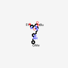 CCOc1cncc(C(CC(=O)OC(C)(C)C)N2CCN(CCCc3cccc(NCc4ccc(OC)cc4)n3)C2=O)c1